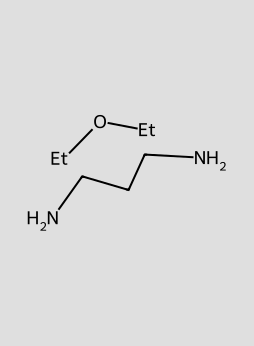 CCOCC.NCCCN